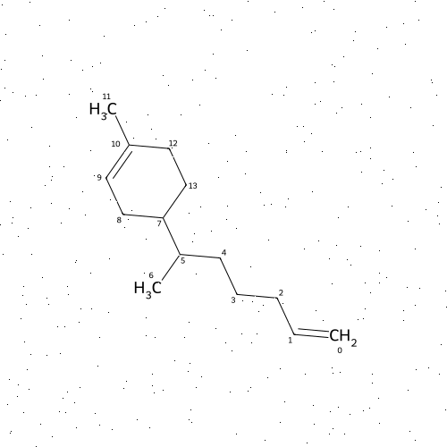 C=CCCCC(C)C1CC=C(C)CC1